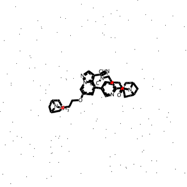 CN(C)CCCC(=O)N1C2CC1CN(c1ccc(-c3cc(OCCN4CC5CC(C4)N5C)cn4ncc(C#N)c34)cn1)C2